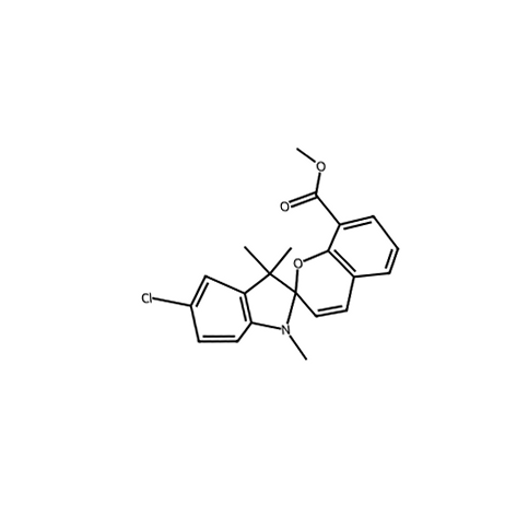 COC(=O)c1cccc2c1OC1(C=C2)N(C)c2ccc(Cl)cc2C1(C)C